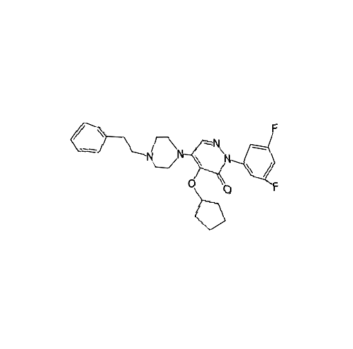 O=c1c(OC2CCCC2)c(N2CCN(CCc3ccccc3)CC2)cnn1-c1cc(F)cc(F)c1